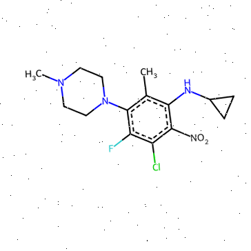 Cc1c(NC2CC2)c([N+](=O)[O-])c(Cl)c(F)c1N1CCN(C)CC1